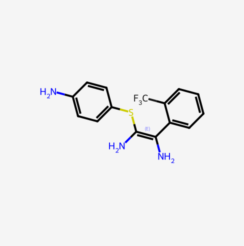 N/C(Sc1ccc(N)cc1)=C(\N)c1ccccc1C(F)(F)F